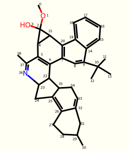 COC1(O)C2C3=C(c4cc(C(C)(C)C)c5ccccc5c4C21)C1C(CC2=C4CCC(C)CC4=CCC21)N=C3C